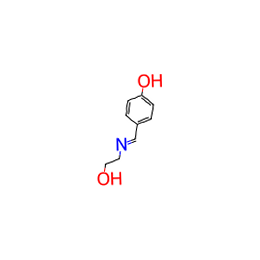 OCCN=Cc1ccc(O)cc1